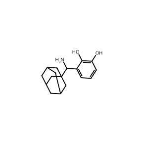 NC(c1cccc(O)c1O)C12CC3CC(CC(C3)C1)C2